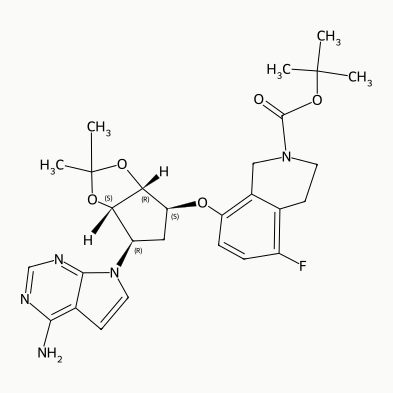 CC(C)(C)OC(=O)N1CCc2c(F)ccc(O[C@H]3C[C@@H](n4ccc5c(N)ncnc54)[C@@H]4OC(C)(C)O[C@@H]43)c2C1